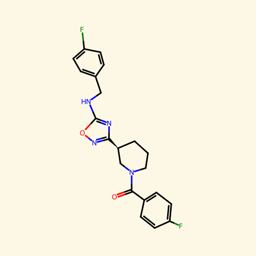 O=C(c1ccc(F)cc1)N1CCC[C@H](c2noc(NCc3ccc(F)cc3)n2)C1